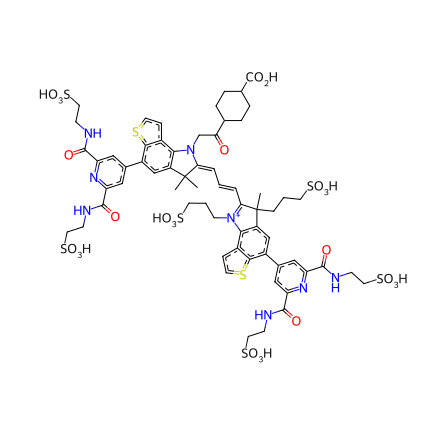 CC1(CCCS(=O)(=O)O)C(/C=C/C=C2/N(CC(=O)C3CCC(C(=O)O)CC3)c3c(cc(-c4cc(C(=O)NCCS(=O)(=O)O)nc(C(=O)NCCS(=O)(=O)O)c4)c4sccc34)C2(C)C)=[N+](CCCS(=O)(=O)O)c2c1cc(-c1cc(C(=O)NCCS(=O)(=O)O)nc(C(=O)NCCS(=O)(=O)O)c1)c1sccc21